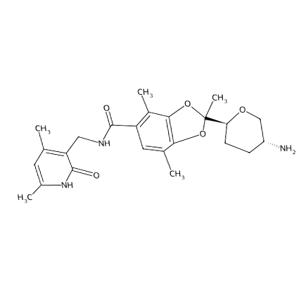 Cc1cc(C)c(CNC(=O)c2cc(C)c3c(c2C)OC(C)([C@@H]2CC[C@@H](N)CO2)O3)c(=O)[nH]1